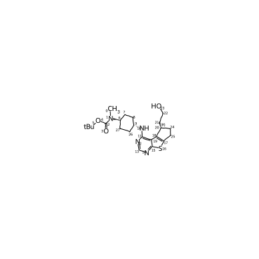 CN(C(=O)OC(C)(C)C)[C@H]1CC[C@H](Nc2ncnc3sc4c(c23)[C@@H](CCO)CC4)CC1